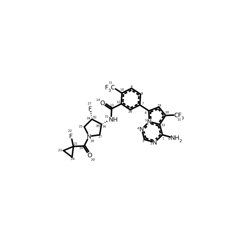 Nc1ncnn2c(-c3ccc(C(F)(F)F)c(C(=O)N[C@@H]4CN(C(=O)C5(F)CC5)C[C@@H]4F)c3)cc(C(F)(F)F)c12